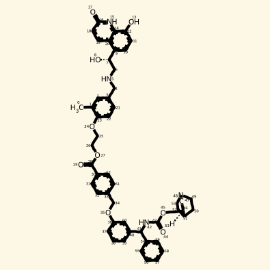 Cc1cc(CNC[C@H](O)c2ccc(O)c3[nH]c(=O)ccc23)ccc1OCCOC(=O)c1ccc(COc2cccc(C(NC(=O)O[C@H]3CN4CCC3CC4)c3ccccc3)c2)cc1